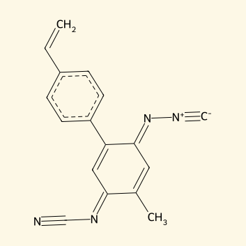 [C-]#[N+]/N=C1C=C(C)/C(=N/C#N)C=C\1c1ccc(C=C)cc1